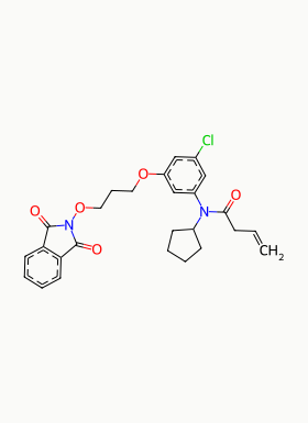 C=CCC(=O)N(c1cc(Cl)cc(OCCCON2C(=O)c3ccccc3C2=O)c1)C1CCCC1